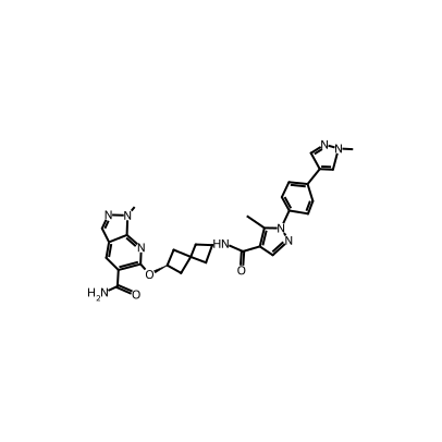 Cc1c(C(=O)N[C@H]2CC3(C2)C[C@H](Oc2nc4c(cnn4C)cc2C(N)=O)C3)cnn1-c1ccc(-c2cnn(C)c2)cc1